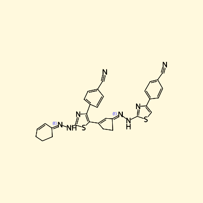 N#Cc1ccc(-c2csc(N/N=C3/C=C(c4sc(N/N=C5/C=CCCC5)nc4-c4ccc(C#N)cc4)CC3)n2)cc1